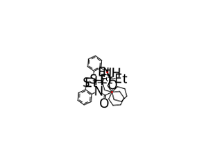 CCC(CC)CC1(OCNc2ccccc2SSc2ccccc2NC(=O)C2(CC(CC)CC)CCCCC2)CCCCC1